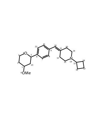 COC1CCOC(c2ccc(C=C3CCN(C4CCC4)CC3)cc2)C1